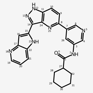 O=C(Nc1cncc(-c2ccc3[nH]nc(-c4cc5ncccc5[nH]4)c3n2)c1)C1CCCCC1